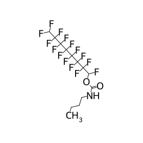 CCCCNC(=O)OC(F)C(F)(F)C(F)(F)C(F)(F)C(F)(F)C(F)(F)C(F)(F)C(F)F